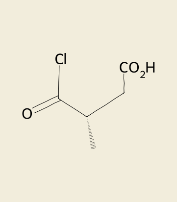 C[C@@H](CC(=O)O)C(=O)Cl